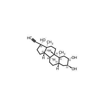 C#C[C@]1(O)CC[C@H]2[C@@H]3CC[C@H]4C[C@H](O)[C@@H](O)C[C@]4(C)[C@H]3CC[C@@]21C